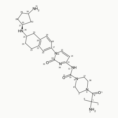 CC(C)(N)C(=O)N1CCN(C(=O)Nc2ccn(-c3ccc4c(c3)CCC(N[C@H]3CCC(N)C3)C4)c(=O)n2)CC1